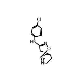 Clc1ccc(NC2=NO[C@@]3(C2)CN2CCC3CC2)cc1